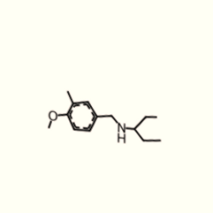 CCC(CC)NCc1ccc(OC)c(C)c1